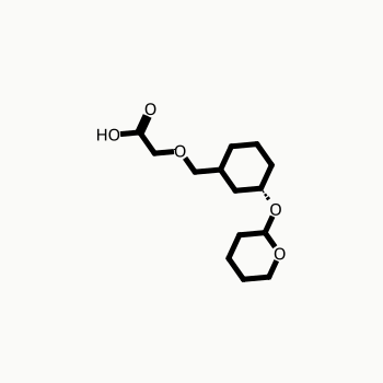 O=C(O)COCC1CCC[C@H](OC2CCCCO2)C1